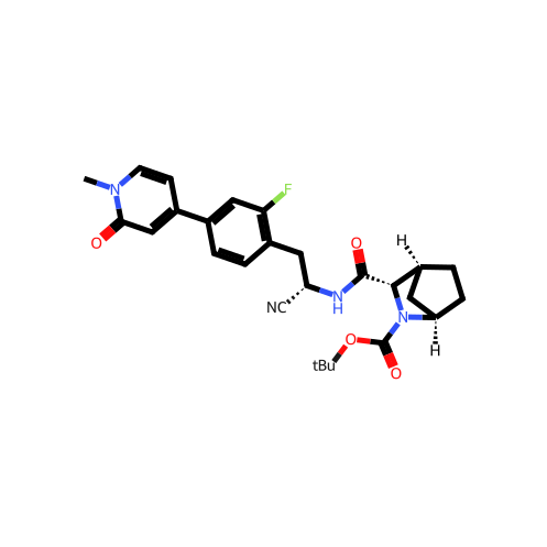 Cn1ccc(-c2ccc(C[C@@H](C#N)NC(=O)[C@@H]3[C@H]4CC[C@H](C4)N3C(=O)OC(C)(C)C)c(F)c2)cc1=O